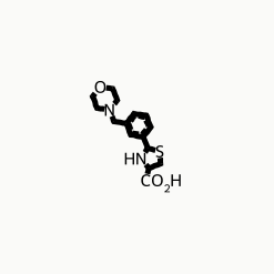 O=C(O)C1CSC(c2cccc(CN3CCOCC3)c2)N1